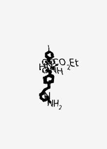 CCOC(=O)C[C@@H](NC(=O)c1ccc(CCc2cccc(N)n2)cc1)NS(=O)(=O)c1ccc(I)cc1